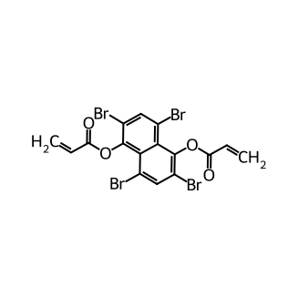 C=CC(=O)Oc1c(Br)cc(Br)c2c(OC(=O)C=C)c(Br)cc(Br)c12